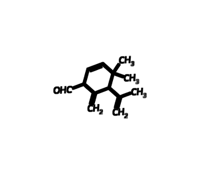 C=C(C)C1C(=C)C(C=O)C=CC1(C)C